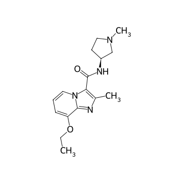 CCOc1cccn2c(C(=O)N[C@H]3CCN(C)C3)c(C)nc12